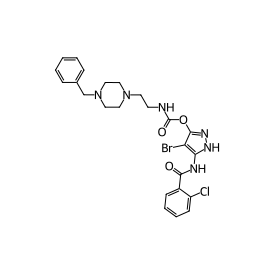 O=C(NCCN1CCN(Cc2ccccc2)CC1)Oc1n[nH]c(NC(=O)c2ccccc2Cl)c1Br